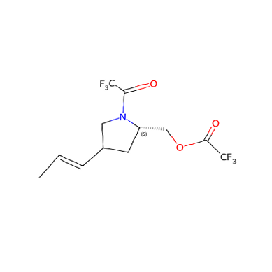 CC=CC1C[C@@H](COC(=O)C(F)(F)F)N(C(=O)C(F)(F)F)C1